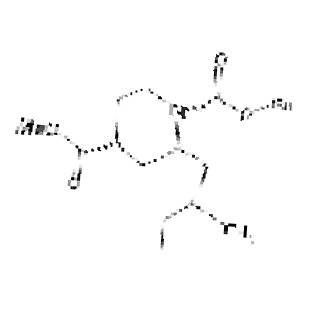 COC(=O)C1CCN(C(=O)OC(C)(C)C)C(CC(C)CI)C1